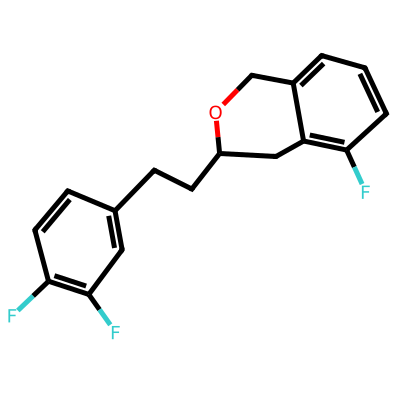 Fc1ccc(CCC2Cc3c(F)cccc3CO2)cc1F